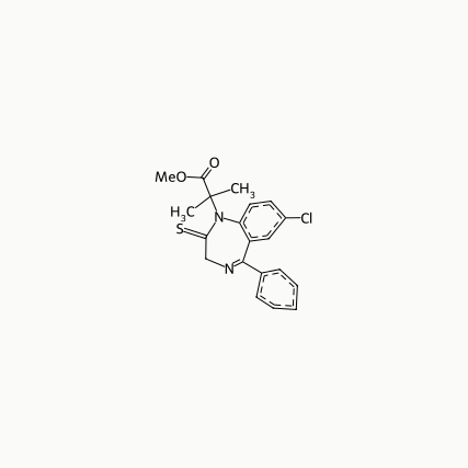 COC(=O)C(C)(C)N1C(=S)CN=C(c2ccccc2)c2cc(Cl)ccc21